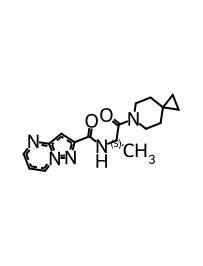 C[C@H](NC(=O)c1cc2ncccn2n1)C(=O)N1CCC2(CC1)CC2